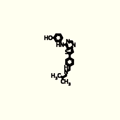 CC(C)CNCc1ccc(-c2cc3ncnc(Nc4cccc(O)c4)c3s2)cc1